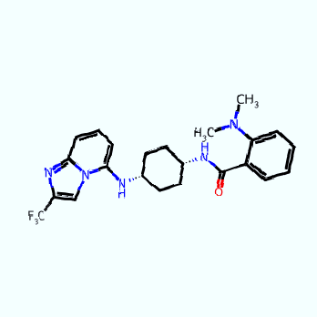 CN(C)c1ccccc1C(=O)N[C@H]1CC[C@@H](Nc2cccc3nc(C(F)(F)F)cn23)CC1